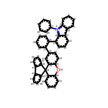 c1ccc(-n2c3ccccc3c3cccc(-c4ccccc4-c4ccc5c(c4)C4(c6ccccc6O5)c5ccccc5-c5ccccc54)c32)cc1